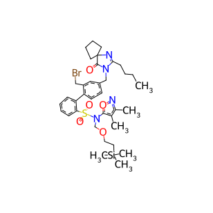 CCCCC1=NC2(CCCC2)C(=O)N1Cc1ccc(-c2ccccc2S(=O)(=O)N(COCC[Si](C)(C)C)c2onc(C)c2C)c(CBr)c1